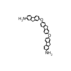 Nc1ccc2c(c1)Cc1cc(Oc3ccc4c(c3)Cc3cc(Oc5ccc6c(c5)Cc5cc(N)ccc5-6)ccc3-4)ccc1-2